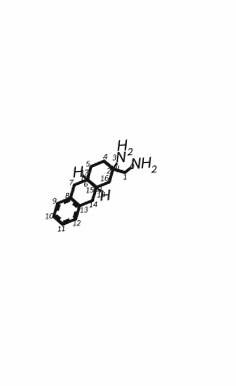 NC[C@@]1(N)CC[C@H]2Cc3ccccc3C[C@H]2C1